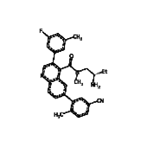 CC[C@H](N)CN(C)C(=O)c1c(-c2cc(C)cc(F)c2)cnc2ccc(-c3cc(C#N)ccc3C)cc12